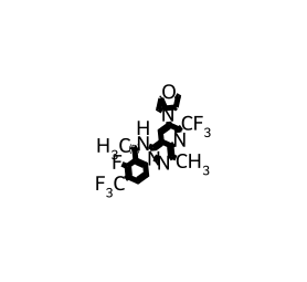 Cc1nnc(N[C@H](C)c2cccc(C(F)(F)F)c2F)c2cc(N3CC4CC3CO4)c(C(F)(F)F)nc12